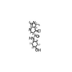 Cc1nn(C)c2ncc(C(=O)Nc3ccc(O)cc3)c(Cl)c12